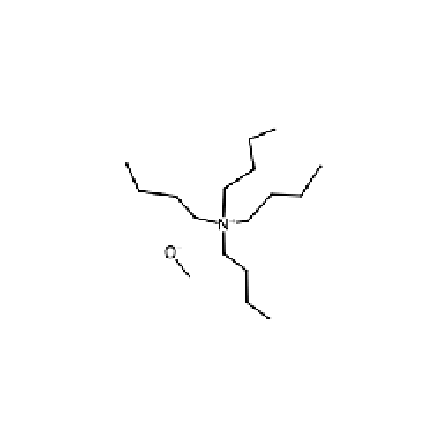 CCCC[N+](CCCC)(CCCC)CCCC.C[O-]